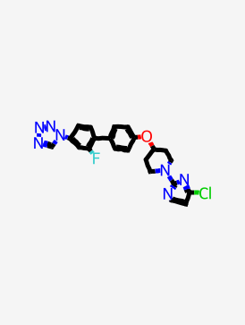 Fc1cc(-n2cnnn2)ccc1-c1ccc(OC2CCN(c3nccc(Cl)n3)CC2)cc1